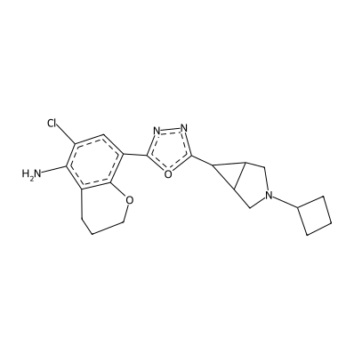 Nc1c(Cl)cc(-c2nnc(C3C4CN(C5CCC5)CC43)o2)c2c1CCCO2